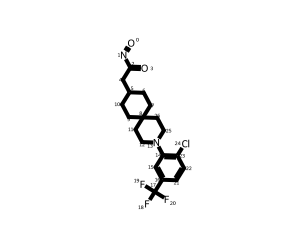 O=NC(=O)CC1CCC2(CC1)CCN(c1cc(C(F)(F)F)ccc1Cl)CC2